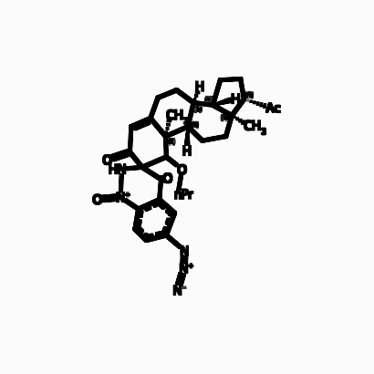 CCCOC1C2(N[N+](=O)c3ccc(N=[N+]=[N-])cc3C2=O)C(=O)C=C2CC[C@H]3[C@@H]4CC[C@H](C(C)=O)[C@@]4(C)CC[C@@H]3[C@]21C